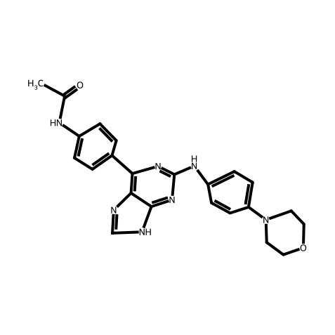 CC(=O)Nc1ccc(-c2nc(Nc3ccc(N4CCOCC4)cc3)nc3[nH]cnc23)cc1